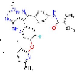 C=C(C)C(=O)Nc1ccc(-c2nn3ncnc(N)c3c2-c2ccc(Oc3cccc(C)n3)c(F)c2)cc1